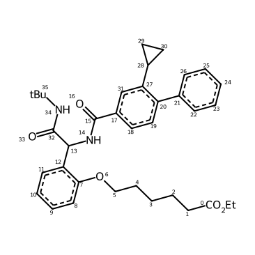 CCOC(=O)CCCCCOc1ccccc1C(NC(=O)c1ccc(-c2ccccc2)c(C2CC2)c1)C(=O)NC(C)(C)C